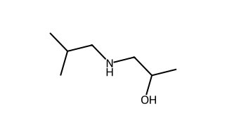 CC(C)CNCC(C)O